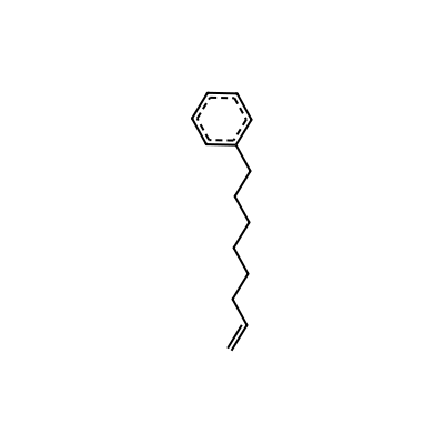 C=CCCCCCCc1ccccc1